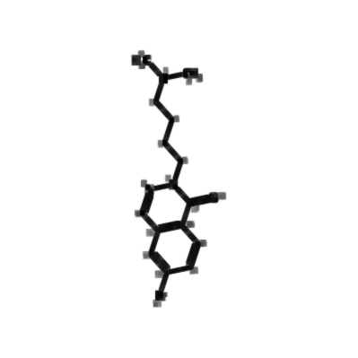 CN(C)CCCCn1ncc2cc(Br)ccc2c1=O